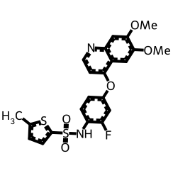 COc1cc2nccc(Oc3ccc(NS(=O)(=O)c4ccc(C)s4)c(F)c3)c2cc1OC